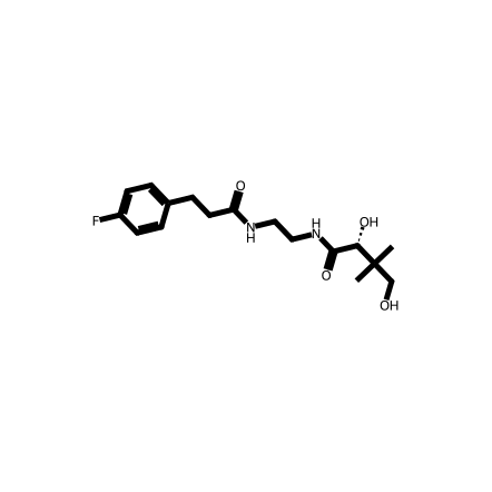 CC(C)(CO)[C@@H](O)C(=O)NCCNC(=O)CCc1ccc(F)cc1